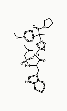 COc1ccc(C(C)(C(=O)N2CCCC2)n2cnc(NC(=O)C(Cc3c[nH]c4ccccc34)NS(=O)(=O)CN(C)C)c2)cc1